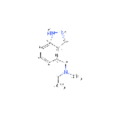 CCN(C)Cc1cccc2[nH]ncc12